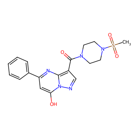 CS(=O)(=O)N1CCN(C(=O)c2cnn3c(O)cc(-c4ccccc4)nc23)CC1